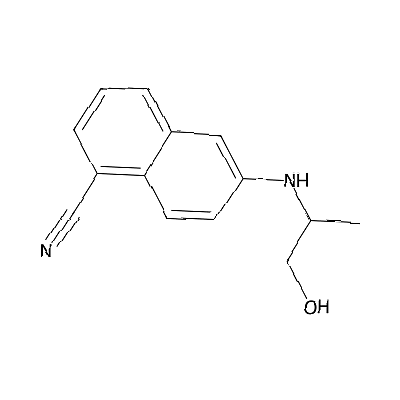 CC(CO)Nc1ccc2c(C#N)cccc2c1